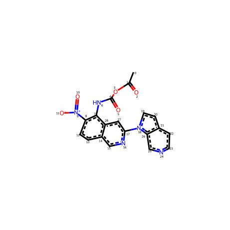 CC(=O)OC(=O)Nc1c([N+](=O)[O-])ccc2cnc(-n3ccc4ccncc43)cc12